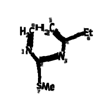 C=N/C(=N\C(=C)CC)SC